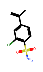 C=C(C)c1ccc(S(N)(=O)=O)c(Cl)c1